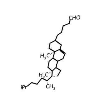 CC(C)CCC[C@@H](C)[C@H]1CCC2C3CC=C4CC(CCCCC=O)CC[C@]4(C)C3CC[C@@]21C